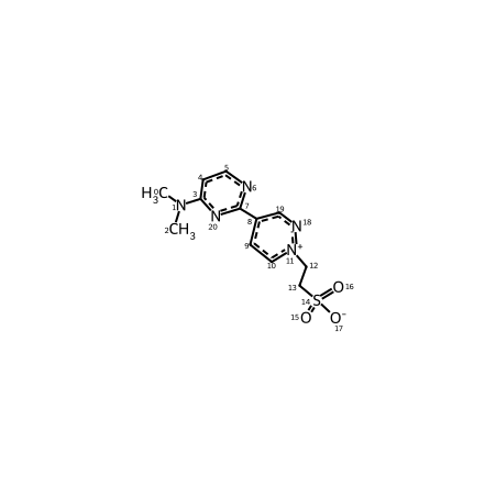 CN(C)c1ccnc(-c2cc[n+](CCS(=O)(=O)[O-])nc2)n1